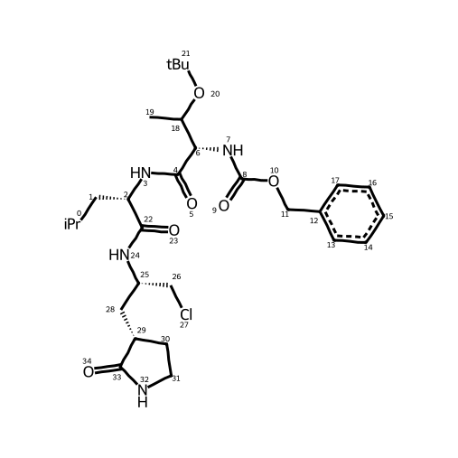 CC(C)C[C@H](NC(=O)[C@@H](NC(=O)OCc1ccccc1)C(C)OC(C)(C)C)C(=O)N[C@H](CCl)C[C@@H]1CCNC1=O